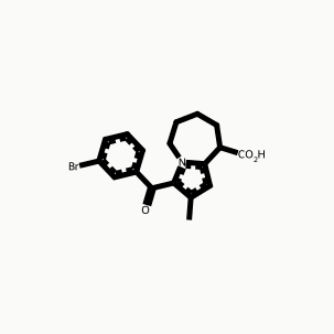 Cc1cc2n(c1C(=O)c1cccc(Br)c1)CCCCC2C(=O)O